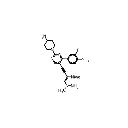 CN/C(C#Cc1cnc(N2CCC(N)CC2)nc1-c1ccc(N)c(F)c1)=C\N(C)N